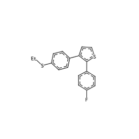 CCSc1ccc(-c2ccsc2-c2ccc(F)cc2)cc1